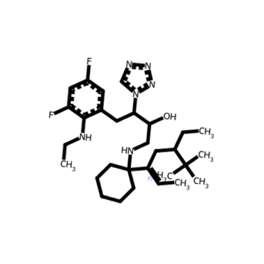 C/C=C(\CC(CC)C(C)(C)C)C1(NCC(O)C(Cc2cc(F)cc(F)c2NCC)n2cnnn2)CCCCC1